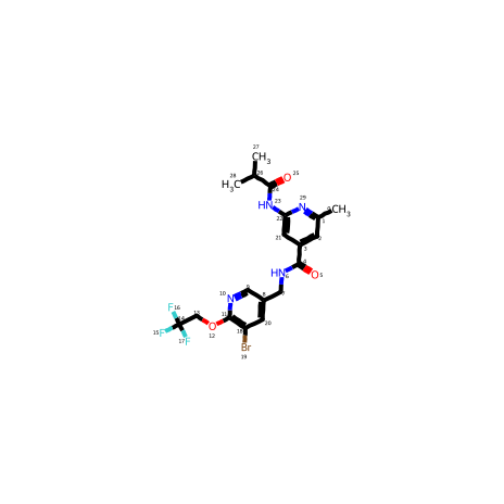 Cc1cc(C(=O)NCc2cnc(OCC(F)(F)F)c(Br)c2)cc(NC(=O)C(C)C)n1